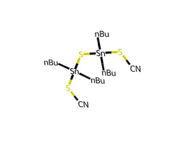 CCC[CH2][Sn]([CH2]CCC)([S]C#N)[S][Sn]([CH2]CCC)([CH2]CCC)[S]C#N